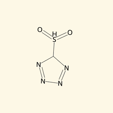 O=[SH](=O)C1N=NN=N1